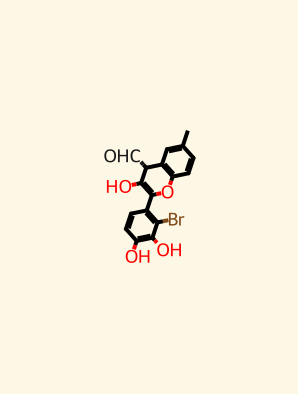 Cc1ccc2c(c1)C(C=O)C(O)=C(c1ccc(O)c(O)c1Br)O2